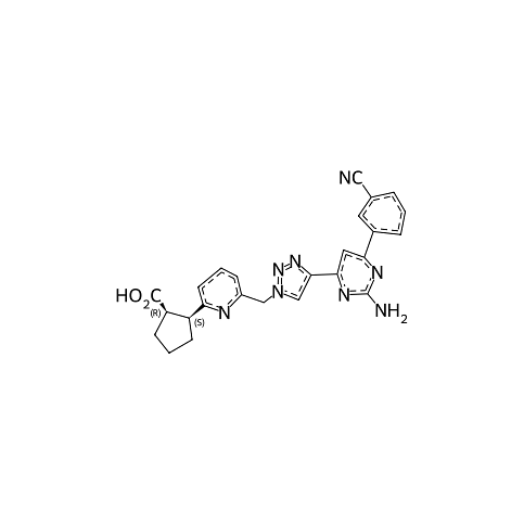 N#Cc1cccc(-c2cc(-c3cn(Cc4cccc([C@H]5CCC[C@H]5C(=O)O)n4)nn3)nc(N)n2)c1